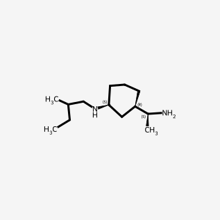 CCC(C)CN[C@H]1CCC[C@@H]([C@H](C)N)C1